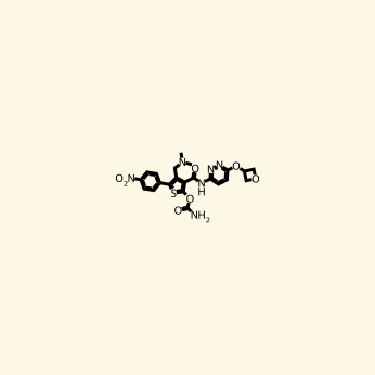 CN(C)Cc1c(-c2ccc([N+](=O)[O-])cc2)sc(OC(N)=O)c1C(=O)Nc1ccc(OC2COC2)nn1